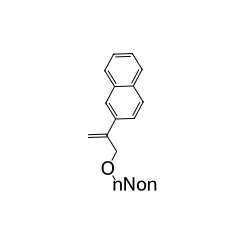 C=C(COCCCCCCCCC)c1ccc2ccccc2c1